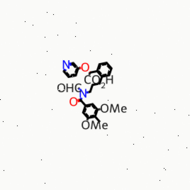 COc1cc(C(=O)N(C=O)CCCc2ccccc2C(Oc2cccnc2)C(=O)O)cc(OC)c1C